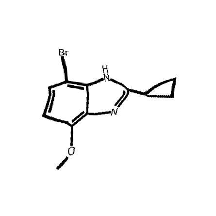 COc1ccc(Br)c2[nH]c(C3CC3)nc12